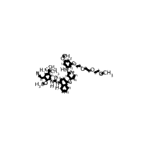 COCCOCCOCCOc1cc(Nc2cc(Oc3ccc(NC(=O)Nc4cc(C(C)(C)C)cc(CC#N)c4OC)c4ccccc34)ccn2)cc(OC)c1